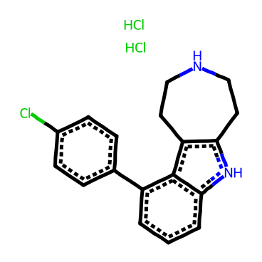 Cl.Cl.Clc1ccc(-c2cccc3[nH]c4c(c23)CCNCC4)cc1